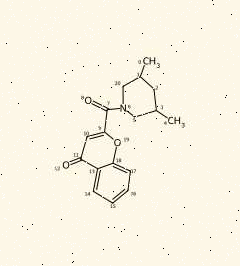 CC1CC(C)CN(C(=O)c2cc(=O)c3ccccc3o2)C1